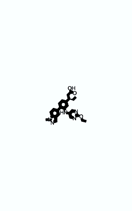 CCOc1ncc(Nc2cc([C@H](CC)CC(=O)O)ccc2-c2ccc3c(cnn3C)c2)cn1